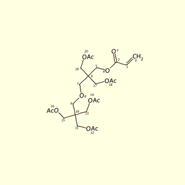 C=CC(=O)OCC(COCC(COC(C)=O)(COC(C)=O)COC(C)=O)(COC(C)=O)COC(C)=O